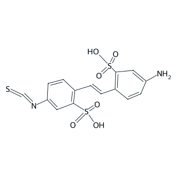 Nc1ccc(C=Cc2ccc(N=C=S)cc2S(=O)(=O)O)c(S(=O)(=O)O)c1